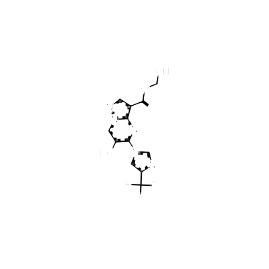 CCOC(=O)c1cnn2cc(C)c(-n3cnc(C(F)(F)F)c3)nc12